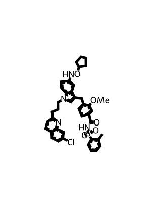 COc1cc(C(=O)NS(=O)(=O)c2ccccc2C)ccc1Cc1cn(CCCc2ccc3ccc(Cl)cc3n2)c2ccc(NOC3CCCC3)cc12